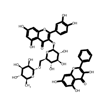 C[C@@H]1O[C@@H](OC[C@H]2O[C@@H](Oc3c(-c4ccc(O)c(O)c4)oc4cc(O)cc(O)c4c3=O)[C@H](O)[C@@H](O)[C@@H]2O)[C@H](O)[C@H](O)[C@H]1O.O=c1c(O)c(-c2ccccc2)oc2cc(O)cc(O)c12